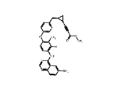 COC(=O)C#CC1CC1Cc1ccc(Oc2ccc(Nc3ncnc4ccc(N)cc34)c(F)c2C)cn1